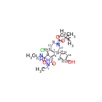 CCNC(=O)c1cc2c(c(Cl)c1C(=O)NCC)CCN(C(=O)OC(C)(C)C)CC2c1ccc(O)cc1